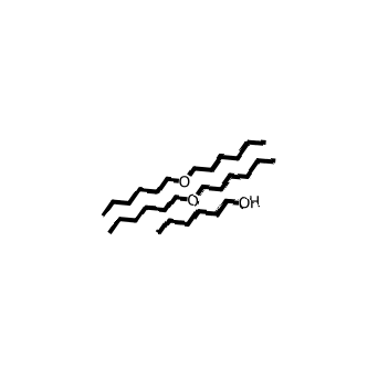 CCCCCCO.CCCCCCOCCCCCC.CCCCCCOCCCCCC